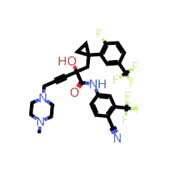 CN1CCN(CC#CC(O)(CC2(c3cc(C(F)(F)F)ccc3F)CC2)C(=O)Nc2ccc(C#N)c(C(F)(F)F)c2)CC1